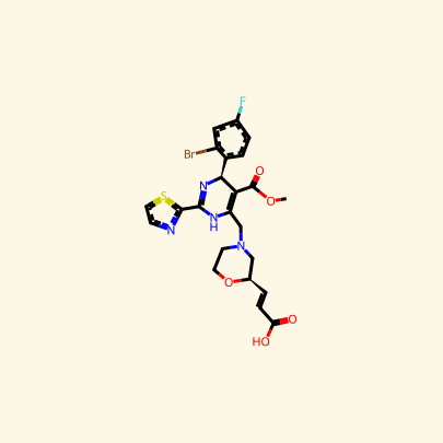 COC(=O)C1=C(CN2CCO[C@H](/C=C/C(=O)O)C2)NC(c2nccs2)=N[C@H]1c1ccc(F)cc1Br